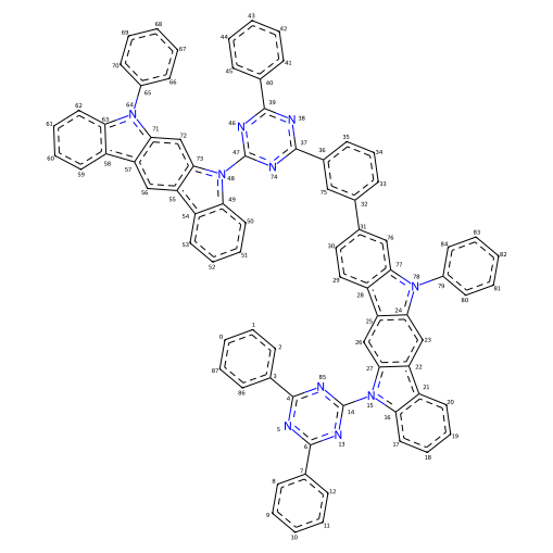 c1ccc(-c2nc(-c3ccccc3)nc(-n3c4ccccc4c4cc5c(cc43)c3ccc(-c4cccc(-c6nc(-c7ccccc7)nc(-n7c8ccccc8c8cc9c%10ccccc%10n(-c%10ccccc%10)c9cc87)n6)c4)cc3n5-c3ccccc3)n2)cc1